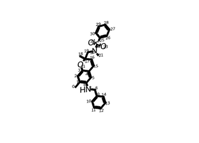 Cc1cc2c(cc1NCc1ccccc1)C=CC(C)(CN(C)S(=O)(=O)c1ccccc1)O2